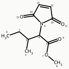 CCC(C)C(C(=O)OC)N1C(=O)C=CC1=O